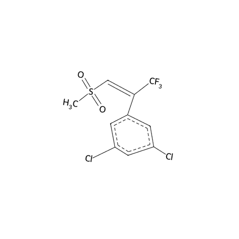 CS(=O)(=O)/C=C(\c1cc(Cl)cc(Cl)c1)C(F)(F)F